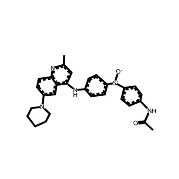 CC(=O)Nc1ccc([S+]([O-])c2ccc(Nc3cc(C)nc4ccc(N5CCCCC5)cc34)cc2)cc1